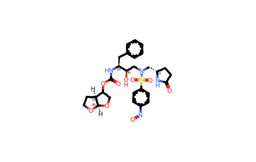 O=Nc1ccc(S(=O)(=O)N(C[C@@H]2CCC(=O)N2)C[C@@H](O)[C@H](Cc2ccccc2)NC(=O)OC2CO[C@H]3OCC[C@@H]23)cc1